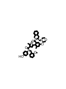 COc1ccccc1CN(C(=O)c1cc(-c2c(C)cc(Cl)cc2C(=O)N2Cc3ccccc3C[C@H]2CN2CCOCC2)n(C)c1C)c1ccc(O)cc1